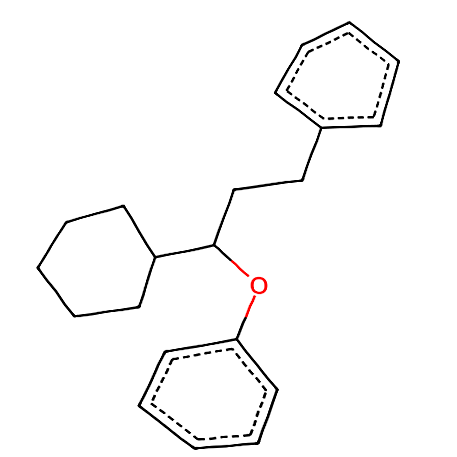 c1ccc(CCC(Oc2ccccc2)C2CCCCC2)cc1